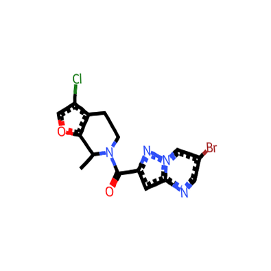 CC1c2occ(Cl)c2CCN1C(=O)c1cc2ncc(Br)cn2n1